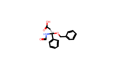 O=CN[C@@](CC(=O)O)(OCc1ccccc1)c1ccccc1